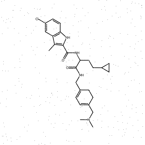 Cc1c(C(=O)NC(CCC2CC2)C(=O)NCC2=CC=C(CN(C)C)CC2)[nH]c2ccc(Cl)cc12